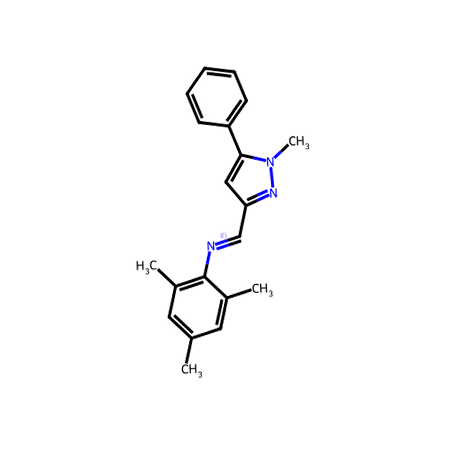 Cc1cc(C)c(/N=C/c2cc(-c3ccccc3)n(C)n2)c(C)c1